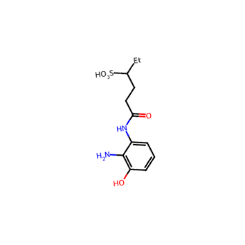 CCC(CCC(=O)Nc1cccc(O)c1N)S(=O)(=O)O